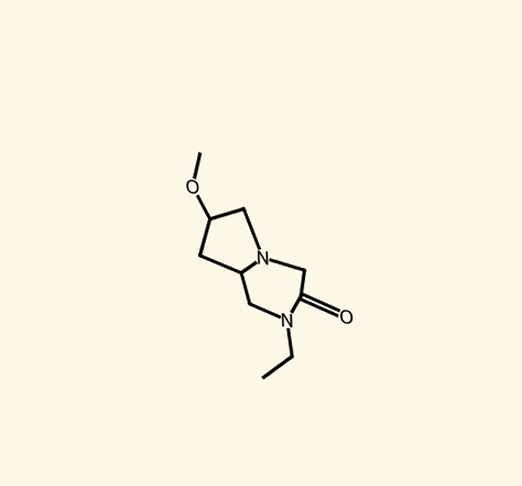 CCN1CC2CC(OC)CN2CC1=O